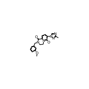 COc1cccc(CN2CCn3c(ccc(-n4cnc(C)n4)c3=O)C2=O)c1